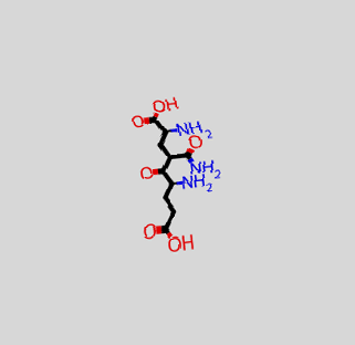 NC(=O)C(C[C@H](N)C(=O)O)C(=O)[C@@H](N)CCC(=O)O